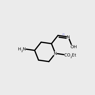 CCOC(=O)N1CCC(N)CC1/C=N\O